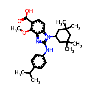 COc1c(C(=O)O)ccc2c1nc(Nc1ccc(C(C)C)cc1)n2C1CC(C)(C)CC(C)(C)C1